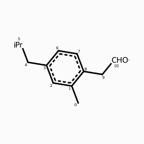 Cc1cc(CC(C)C)ccc1C[C]=O